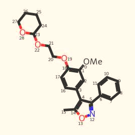 COc1cc(-c2c(-c3ccccc3)noc2C)ccc1OCCOC1CCCCO1